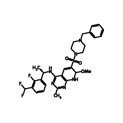 COC1Nc2nc(C)nc(N[C@H](C)c3cccc(C(F)F)c3F)c2C=C1S(=O)(=O)N1CCN(Cc2ccccc2)CC1